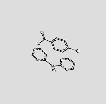 O=C(Cl)c1ccc(Cl)cc1.c1ccc(Pc2ccccc2)cc1